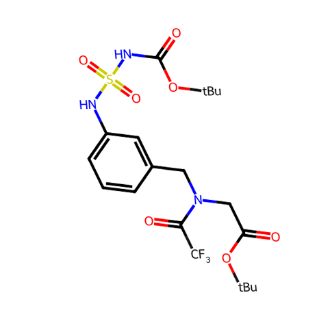 CC(C)(C)OC(=O)CN(Cc1cccc(NS(=O)(=O)NC(=O)OC(C)(C)C)c1)C(=O)C(F)(F)F